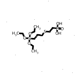 CCO[Si](CCCSCCP(=O)(O)O)(OCC)OCC